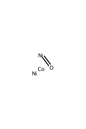 [Co].[Ni].[O]=[Ni]